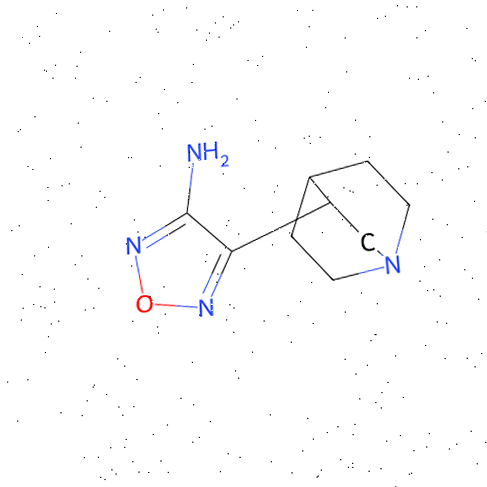 Nc1nonc1C1CN2CCC1CC2